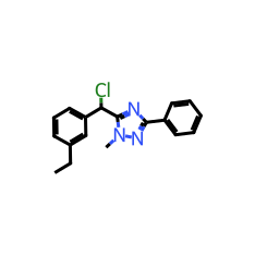 CCc1cccc(C(Cl)c2nc(-c3ccccc3)nn2C)c1